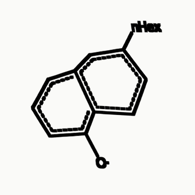 CCCCCCc1ccc2c([O])cccc2c1